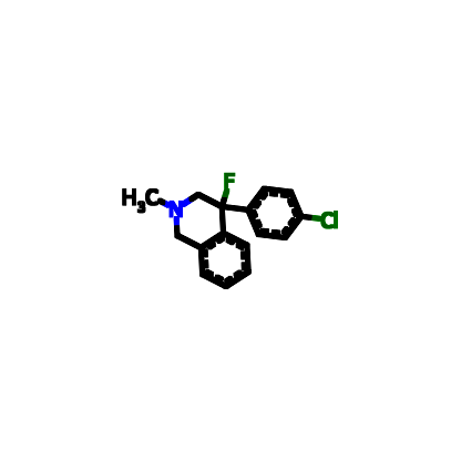 CN1Cc2ccccc2C(F)(c2ccc(Cl)cc2)C1